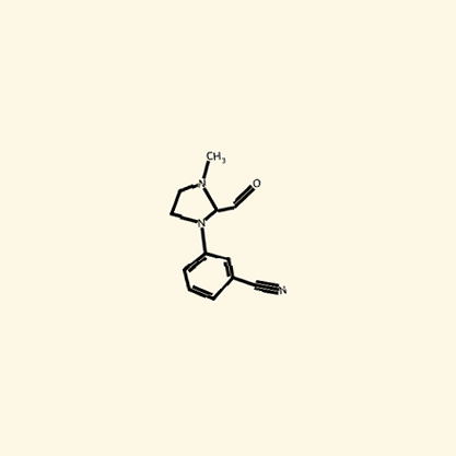 CN1CCN(c2cccc(C#N)c2)C1C=O